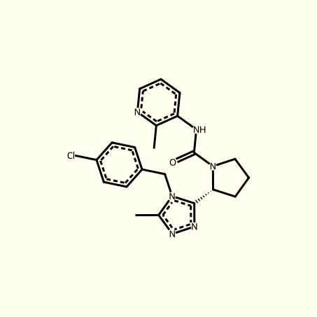 Cc1ncccc1NC(=O)N1CCC[C@@H]1c1nnc(C)n1Cc1ccc(Cl)cc1